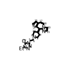 CCn1nnn(CCN2CCC(=C3c4sccc4C=Cn4ccnc43)CC2)c1=O